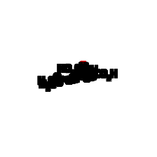 CC1(C)COC(CCCOc2ccc(CCCOc3ccc(C(=O)O)cc3C(=O)NC3CCCC(C(=O)O)C3)cc2)OC1